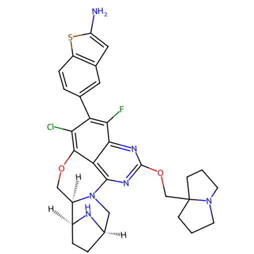 Nc1cc2cc(-c3c(Cl)c4c5c(nc(OCC67CCCN6CCC7)nc5c3F)N3C[C@H]5CC[C@H](N5)[C@H]3CO4)ccc2s1